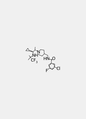 CC(C(NC(C)(C)C(F)(F)F)=C1CC1)N1CCC(CNC(=O)c2cc(F)cc(Cl)c2)CC1